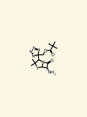 CC(C)(C)C(=O)OCC1(C2N3C(=O)C(N)C3SC2(C)C)N=NN=N1